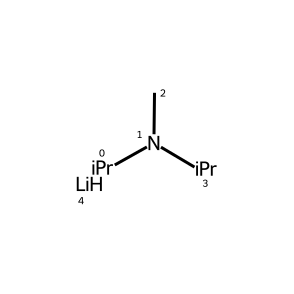 CC(C)N(C)C(C)C.[LiH]